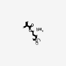 C=C(C)C(=O)OCCC[N+](C)(C)Cl.N